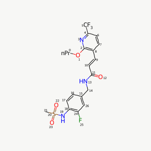 CCCOc1nc(C(F)(F)F)ccc1/C=C/C(=O)NCc1ccc(NS(C)(=O)=O)c(F)c1